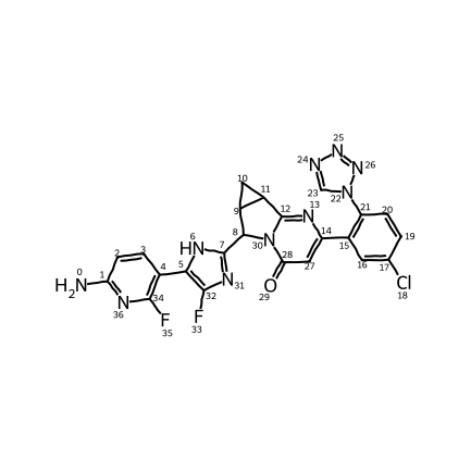 Nc1ccc(-c2[nH]c(C3C4CC4c4nc(-c5cc(Cl)ccc5-n5cnnn5)cc(=O)n43)nc2F)c(F)n1